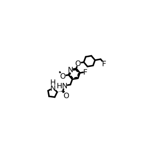 COc1nc(OC2CCC(CF)CC2)c(F)cc1CNC(=O)[C@@H]1CCCN1